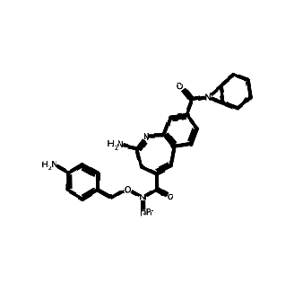 CCCN(OCc1ccc(N)cc1)C(=O)C1=Cc2ccc(C(=O)N3C4CCCCC43)cc2N=C(N)C1